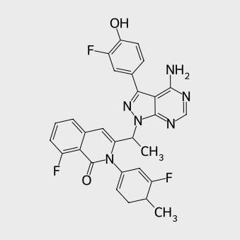 CC1CC=C(n2c(C(C)n3nc(-c4ccc(O)c(F)c4)c4c(N)ncnc43)cc3cccc(F)c3c2=O)C=C1F